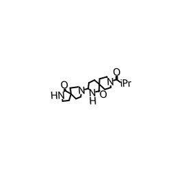 CC(C)C(=O)N1CCC2(CCC(N3CCC4(CCNC4=O)CC3)NC2=O)CC1